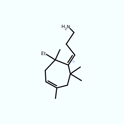 CCC1(C)CC=C(C)CC(C)(C)/C1=C/CCN